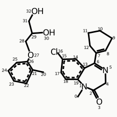 CN1C(=O)CN=C(C2=CCCCC2)c2cc(Cl)ccc21.Cc1ccccc1OCC(O)CO